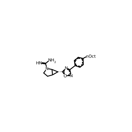 CCCCCCCCc1ccc(-c2noc([C@@H]3C4CCN(C(=N)N)C43)n2)cc1